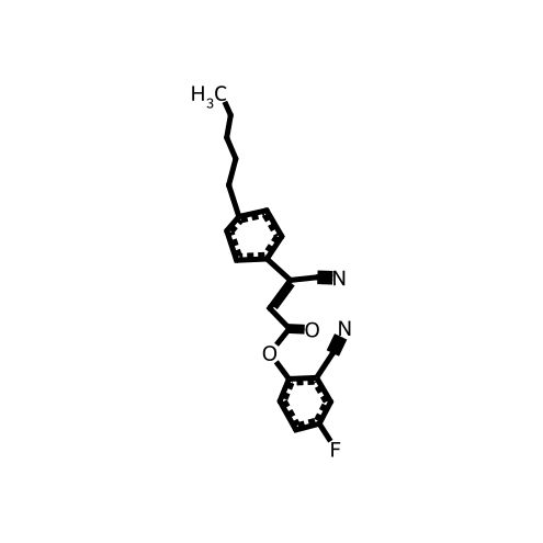 CCCCCc1ccc(C(C#N)=CC(=O)Oc2ccc(F)cc2C#N)cc1